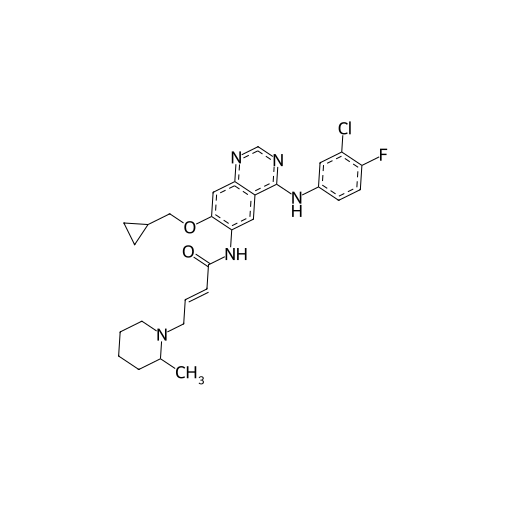 CC1CCCCN1C/C=C/C(=O)Nc1cc2c(Nc3ccc(F)c(Cl)c3)ncnc2cc1OCC1CC1